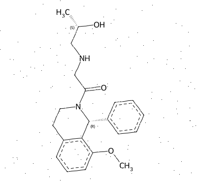 COc1cccc2c1[C@@H](c1ccccc1)N(C(=O)CNC[C@H](C)O)CC2